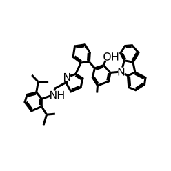 Cc1cc(-c2ccccc2-c2cccc(CNc3c(C(C)C)cccc3C(C)C)n2)c(O)c(-n2c3ccccc3c3ccccc32)c1